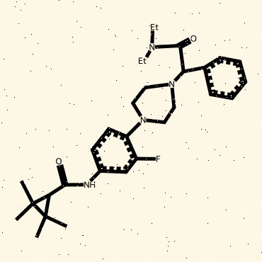 CCN(CC)C(=O)C(c1ccccc1)N1CCN(c2ccc(NC(=O)C3C(C)(C)C3(C)C)cc2F)CC1